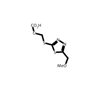 COCc1nnc(SCOC(=O)O)s1